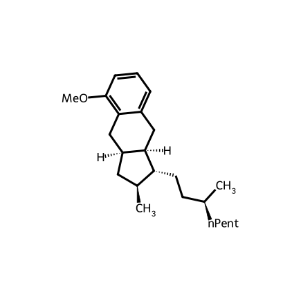 CCCCC[C@H](C)CC[C@H]1[C@@H]2Cc3cccc(OC)c3C[C@@H]2C[C@@H]1C